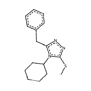 [CH2]Sc1nnc(Cc2ccccc2)n1C1CCCCC1